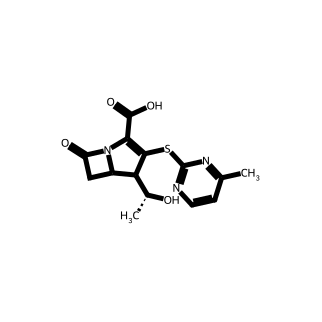 Cc1ccnc(SC2=C(C(=O)O)N3C(=O)CC3C2[C@@H](C)O)n1